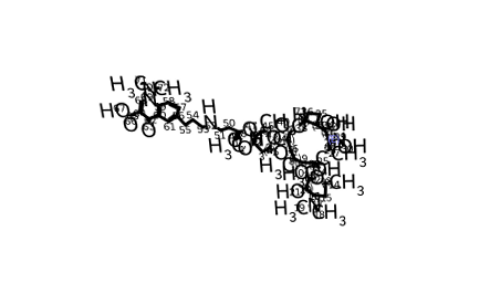 CO[C@@H]1C[C@H](O[C@H]2[C@H](C)[C@@H](O[C@@H]3O[C@H](C)C[C@H](N(C)C)[C@H]3O)[C@](C)(O)C[C@@H](C)/C(=N\O)[C@@H](O)[C@@]3(O)CC[C@H]3OC(=O)[C@@H]2C)O[C@@H](C)[C@@H]1OC(=O)CCNCCCc1ccc2c(c1)c(=O)c(C(=O)O)cn2N(C)C